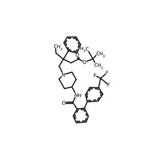 CCC(CC(=O)OC(C)(C)C)(CN1CCC(NC(=O)c2ccccc2-c2ccc(C(F)(F)F)cc2)CC1)c1ccccc1